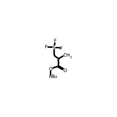 CCCCOC(=O)C(C)CS(F)(F)F